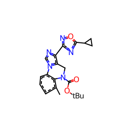 Cc1cccc2c1N(C(=O)OC(C)(C)C)Cc1c(-c3noc(C4CC4)n3)ncn1-2